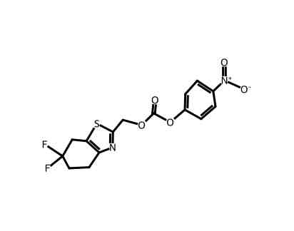 O=C(OCc1nc2c(s1)CC(F)(F)CC2)Oc1ccc([N+](=O)[O-])cc1